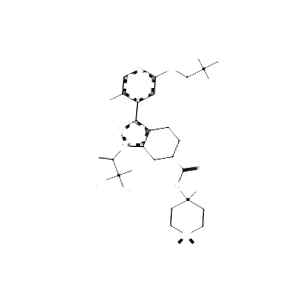 CC(n1nc(-c2cc(OCC(F)(F)F)ncc2F)c2c1C[C@H](C(=O)NC1(C)CCS(=O)(=O)CC1)CC2)C(C)(C)O